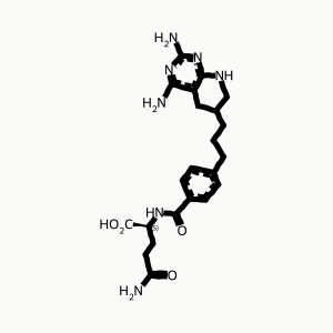 NC(=O)CC[C@H](NC(=O)c1ccc(CCCC2CNc3nc(N)nc(N)c3C2)cc1)C(=O)O